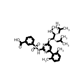 CN[C@H](CC(C)C)[C@H](CC(C)C)Oc1cc(-c2c(C)cccc2C)nc(NS(=O)(=O)c2cccc(C(=O)O)c2)n1